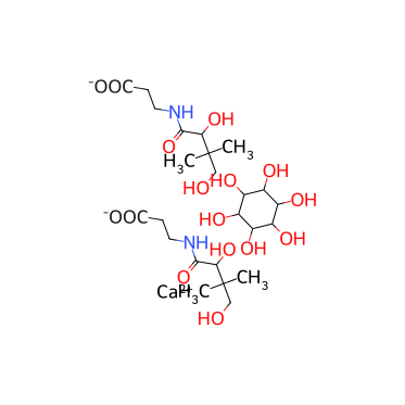 CC(C)(CO)C(O)C(=O)NCCC(=O)[O-].CC(C)(CO)C(O)C(=O)NCCC(=O)[O-].OC1C(O)C(O)C(O)C(O)C1O.[Ca+2]